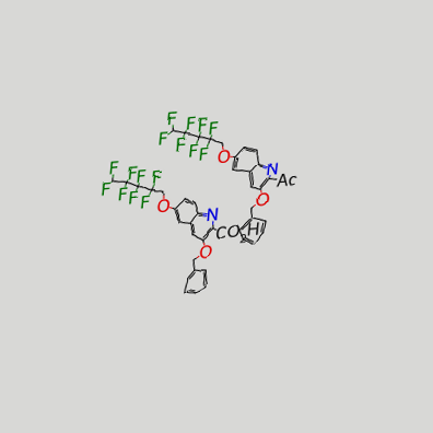 CC(=O)c1nc2ccc(OCC(F)(F)C(F)(F)C(F)(F)C(F)F)cc2cc1OCc1ccccc1.O=C(O)c1nc2ccc(OCC(F)(F)C(F)(F)C(F)(F)C(F)F)cc2cc1OCc1ccccc1